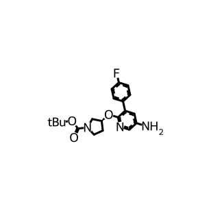 CC(C)(C)OC(=O)N1CC[C@H](Oc2ncc(N)cc2-c2ccc(F)cc2)C1